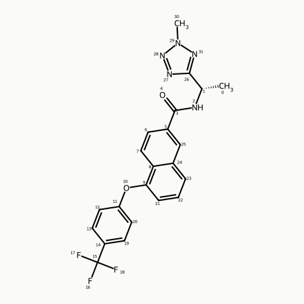 C[C@H](NC(=O)c1ccc2c(Oc3ccc(C(F)(F)F)cc3)cccc2c1)c1nnn(C)n1